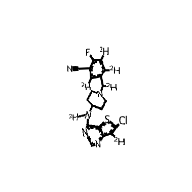 [2H]c1c([2H])c(C([2H])N2CCC(N([2H])c3ncnc4c([2H])c(Cl)sc34)CC2)c([2H])c(C#N)c1F